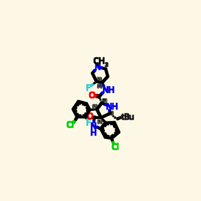 CN1CC[C@@H](NC(=O)[C@@H]2N[C@H](CC(C)(C)C)[C@]3(C(=O)Nc4cc(Cl)ccc43)[C@H]2c2cccc(Cl)c2F)[C@@H](F)C1